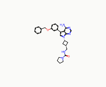 Nc1ncnc2c1c(-c1cccc(OCc3ccccc3)c1)cn2[C@H]1C[C@H](CNC(=O)N2CCCC2)C1